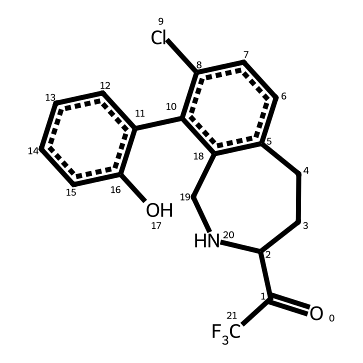 O=C(C1CCc2ccc(Cl)c(-c3ccccc3O)c2CN1)C(F)(F)F